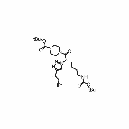 CC(C)C[C@H](C)c1cn([C@@H](CCCCNC(=O)OC(C)(C)C)C(=O)N2CCN(C(=O)OC(C)(C)C)CC2)nn1